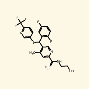 C=C(NCCO)c1cc(C)c(C(Sc2ccc(C(F)(F)F)nc2)c2cc(F)ccc2F)cn1